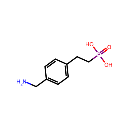 NCc1ccc(CCP(=O)(O)O)cc1